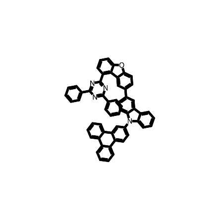 c1ccc(-c2nc(-c3ccccc3)nc(-c3cccc4oc5ccc(-c6ccc7c(c6)c6ccccc6n7-c6ccc7c8ccccc8c8ccccc8c7c6)cc5c34)n2)cc1